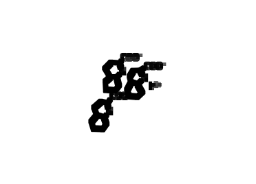 O=C([O-])c1ccc2ccccc2n1.O=C([O-])c1ccc2ccccc2n1.O=C([O-])c1ccc2ccccc2n1.[Ir+3]